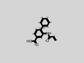 C=CC(=O)Nc1cc(C(=O)O)ccc1-c1ccccc1